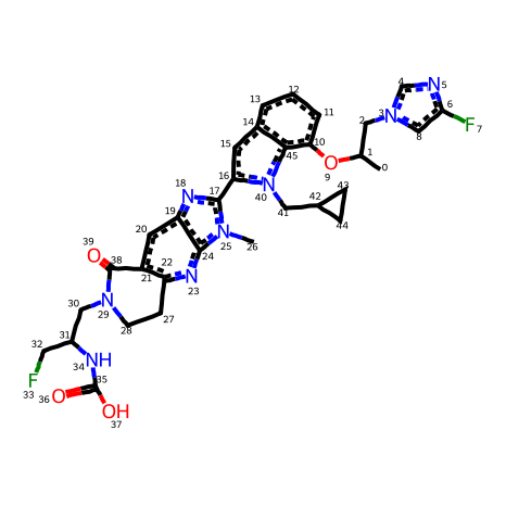 CC(Cn1cnc(F)c1)Oc1cccc2cc(-c3nc4cc5c(nc4n3C)CCN(CC(CF)NC(=O)O)C5=O)n(CC3CC3)c12